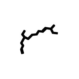 C=CCCC(CC)CCCCC=CC(C)CC